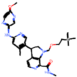 CNC(=O)c1nccc2c1N(COCC[Si](C)(C)C)CC2c1cnc(Nc2cnc(OC)cn2)cc1C